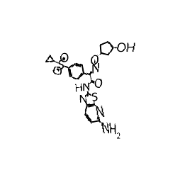 Nc1ccc2nc(NC(=O)/C(=N/O[C@@H]3CC[C@@H](O)C3)c3ccc(S(=O)(=O)C4CC4)cc3)sc2n1